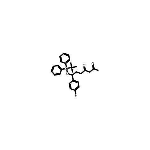 CC(=O)CC(=O)CCC(O[Si](c1ccccc1)(c1ccccc1)C(C)(C)C)c1ccc(F)cc1